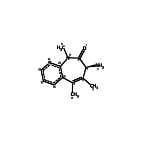 CC1=C(C)[C@H](N)C(=O)N(C)c2ncccc21